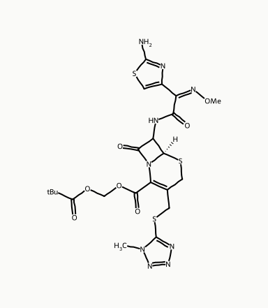 CO/N=C(\C(=O)NC1C(=O)N2C(C(=O)OCOC(=O)C(C)(C)C)=C(CSc3nnnn3C)CS[C@H]12)c1csc(N)n1